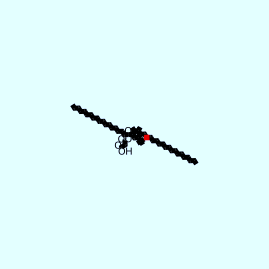 CCCCCCCCCCCCCCCCCCc1c(C(C)(C)C)cc(C(O)(CCCCCCCCCCCCCCCCCC)OC(=O)CC(=O)O)c(C)c1C